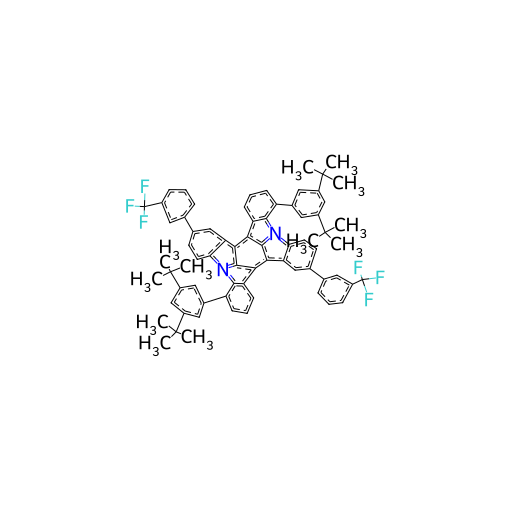 CC(C)(C)c1cc(-c2cccc3c4c5c6cc(-c7cccc(C(F)(F)F)c7)ccc6n6c7c(-c8cc(C(C)(C)C)cc(C(C)(C)C)c8)cccc7c(c7c8cc(-c9cccc(C(F)(F)F)c9)ccc8n(c23)c74)c56)cc(C(C)(C)C)c1